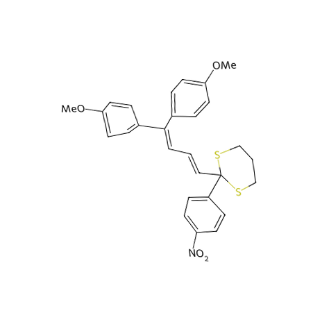 COc1ccc(C(=C/C=C/C2(c3ccc([N+](=O)[O-])cc3)SCCCS2)c2ccc(OC)cc2)cc1